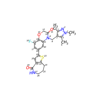 Cc1nn(C)c(C)c1CN1C(=O)COc2c(F)cc(-c3cc4c(s3)CCCNC4=O)cc21